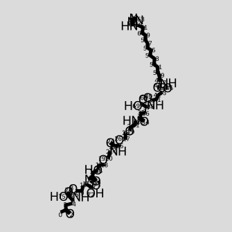 CC(=O)CC[C@H](NC(=O)CC[C@H](NC(=O)COCCOCCNC(=O)COCCOCCNC(=O)CC[C@H](NC(=O)CCCS(=O)(=O)NCCCCCCCCCCCCCCc1nnn[nH]1)C(=O)O)C(=O)O)C(=O)O